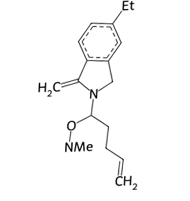 C=CCCC(ONC)N1Cc2cc(CC)ccc2C1=C